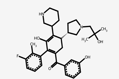 Cc1c(F)cccc1C1=C(C(=O)c2cccc(O)c2)C[C]([C@@H]2CCN(CC(C)(C)O)C2)C(C2CCCNC2)=C1O